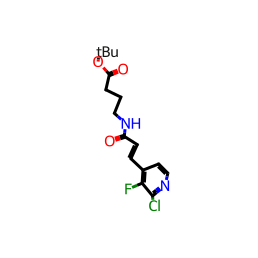 CC(C)(C)OC(=O)CCCNC(=O)/C=C/c1ccnc(Cl)c1F